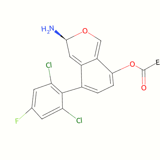 CCC(=O)Oc1ccc(-c2c(Cl)cc(F)cc2Cl)c2c1=CO[C@H](N)C=2